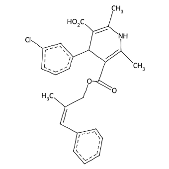 CC(=Cc1ccccc1)COC(=O)C1=C(C)NC(C)=C(C(=O)O)C1c1cccc(Cl)c1